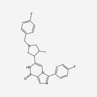 CC1CN(Cc2ccc(F)cc2)CC1c1cn2c(-c3ccc(F)cc3)ncc2c(=O)[nH]1